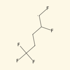 F[CH]C(F)CCC(F)(F)F